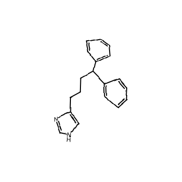 c1ccc(C(CCCc2c[nH]cn2)c2ccccc2)cc1